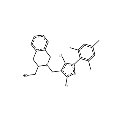 CCc1nn(-c2c(C)cc(C)cc2C)c(CC)c1CN1Cc2ccccc2CC1CO